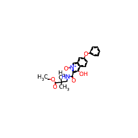 CCOC(=O)C(C)(C)CNC(=O)c1c(O)c2ccc(Oc3ccccc3)cc2c[n+]1[O-]